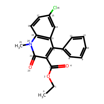 CCOC(=O)c1c(-c2ccccc2)c2cc(Cl)ccc2n(C)c1=O